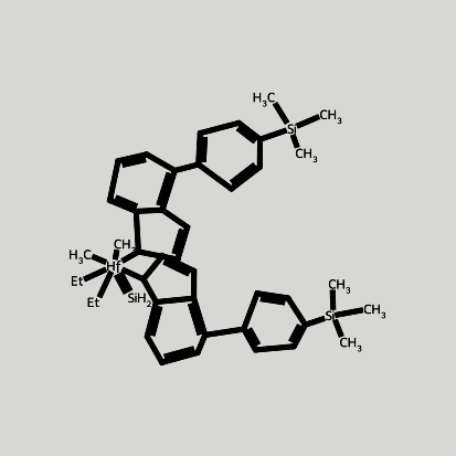 C[CH2][Hf]([CH3])([CH3])(=[SiH2])([CH2]C)([CH]1C=Cc2c(-c3ccc([Si](C)(C)C)cc3)cccc21)[CH]1C=Cc2c(-c3ccc([Si](C)(C)C)cc3)cccc21